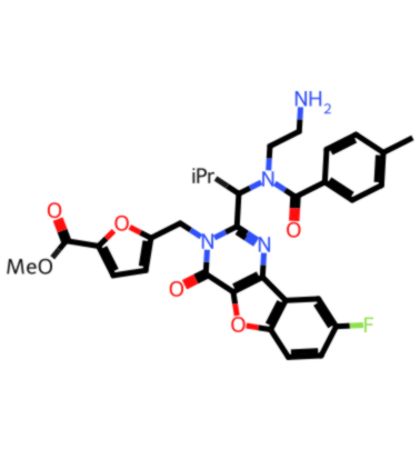 COC(=O)c1ccc(Cn2c(C(C(C)C)N(CCN)C(=O)c3ccc(C)cc3)nc3c(oc4ccc(F)cc43)c2=O)o1